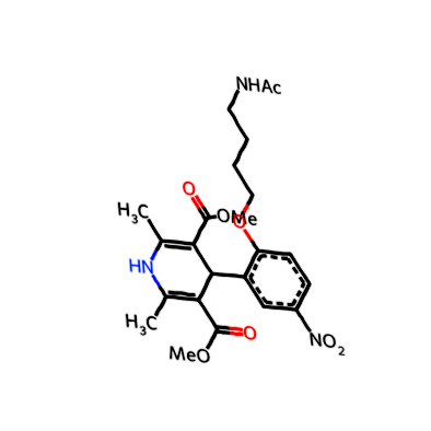 COC(=O)C1=C(C)NC(C)=C(C(=O)OC)C1c1cc([N+](=O)[O-])ccc1OCCCCNC(C)=O